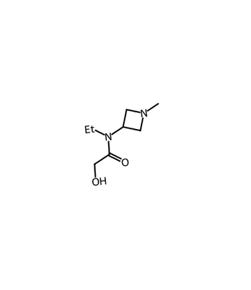 CCN(C(=O)CO)C1CN(C)C1